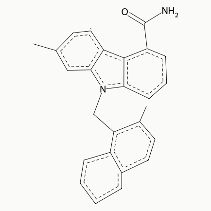 Cc1c[c]c2c3c(C(N)=O)cccc3n(Cc3c(C)ccc4ccccc34)c2c1